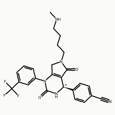 CNCCCCN1CC2=C(C1=O)[C@@H](c1ccc(C#N)cc1)NC(=O)N2c1cccc(C(F)(F)F)c1